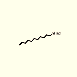 [CH2]CCCCCCCCCCCCCCC=C